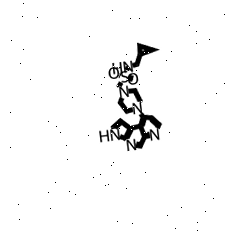 O=S(=O)(CN1CCN(c2ccnc3cnc4[nH]ccc4c23)CC1)NCC1CC1